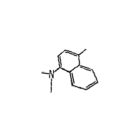 Cc1ccc(N(C)C)c2ccccc12